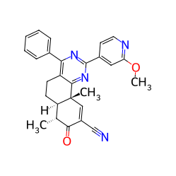 COc1cc(-c2nc(-c3ccccc3)c3c(n2)[C@]2(C)C=C(C#N)C(=O)[C@H](C)[C@H]2CC3)ccn1